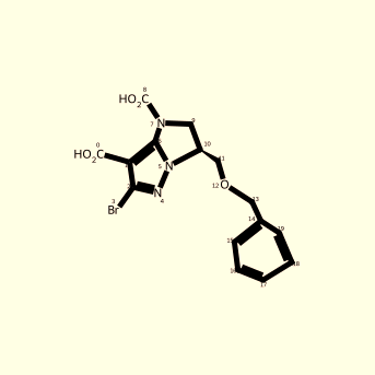 O=C(O)c1c(Br)nn2c1N(C(=O)O)C[C@H]2COCc1ccccc1